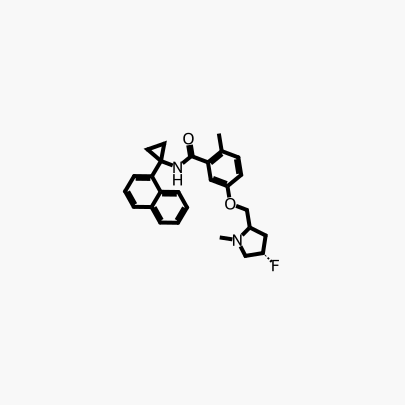 Cc1ccc(OCC2C[C@H](F)CN2C)cc1C(=O)NC1(c2cccc3ccccc23)CC1